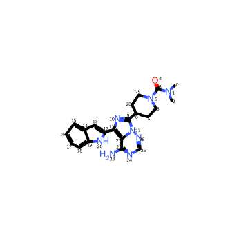 CN(C)C(=O)N1CCC(c2nc(-c3cc4ccccc4[nH]3)c3c(N)ncnn23)CC1